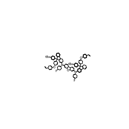 C=Cc1ccc(OC2=CC=C(C3(c4ccc(C(C)(C)C)cc4)C4=C(C=CCC4)c4ccc(N(C5=CC6OC7C=C(N(C8=CC9=C(CC8)c8ccccc8C9(C8=CCC(OC9=CCC(C=C)C=C9)C=C8)c8ccc(C(C)(C)C)cc8)C8=CCC(F)CC8)C=CC7C6C=C5)C5=CC=C(F)CC5)cc43)CC2)cc1